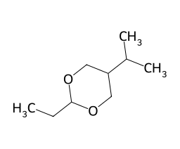 CCC1OCC(C(C)C)CO1